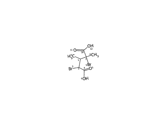 CC(C(Br)C(=O)O)C(C)(Br)C(=O)O